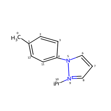 Cc1ccc(-n2ccc[n+]2C(C)C)cc1